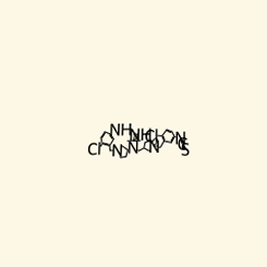 CC(C)(N)N(CC1CCN(Cc2cc(N=C=S)ccc2Cl)C1)C1CCN(Cc2cc(N)ccc2Cl)C1